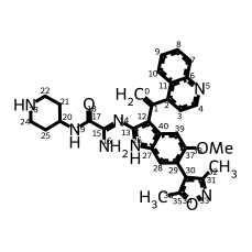 C=C(c1ccnc2ccccc12)c1c(/N=C(\N)C(=O)NC2CCNCC2)[nH]c2cc(-c3c(C)noc3C)c(OC)cc12